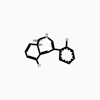 ClC1=CC=CC23NNN=C2NC=C(c2ccccc2Cl)C=C13